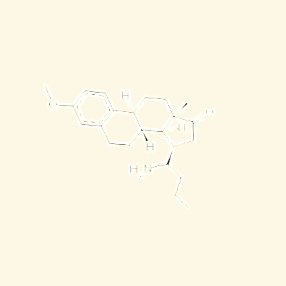 CCCC(N)[C@@H]1CC(=O)[C@@]2(C)CC[C@@H]3c4ccc(OC)cc4CC[C@H]3[C@H]12